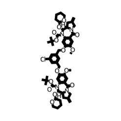 C=C1C[C@H]2C(OC3CCCCO3)N(C(=O)OC(C)(C)C)c3cc(OCc4cc(Cl)cc(COc5cc6c(cc5OC)C(=O)N5CC(=C)C[C@H]5[C@H](OC5CCCCO5)N6C(=O)OC(C)(C)C)c4)c(OC)cc3C(=O)N2C1